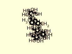 C=C1CC2CCC3[C@](C)(C(=O)OC4OC(CO)C(O)C(O)C4O)CCC[C@@]3(C)[C@@H]2CC1OC1OC(CO)C(O)C(OC2OC(CO)C(O)C(O)C2O)C1OC1OCC(O)C(O)C1O